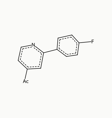 CC(=O)c1ccnc(-c2ccc(F)cc2)c1